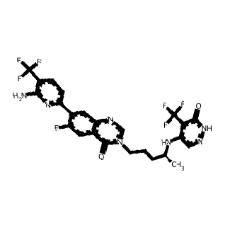 C[C@@H](CCCn1cnc2cc(-c3ccc(C(F)(F)F)c(N)n3)c(F)cc2c1=O)Nc1cn[nH]c(=O)c1C(F)(F)F